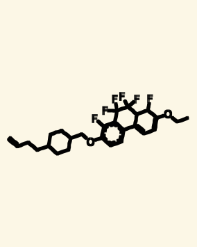 C=CCCC1CCC(COc2ccc3c(c2F)C(F)(F)C(F)(F)C2C3=CC=C(OCC)C2F)CC1